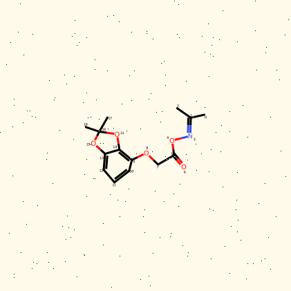 CC(C)=NOC(=O)COc1cccc2c1OC(C)(C)O2